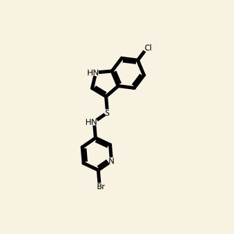 Clc1ccc2c(SNc3ccc(Br)nc3)c[nH]c2c1